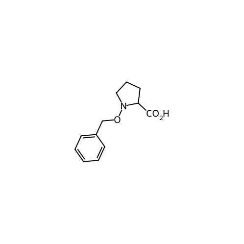 O=C(O)C1CCCN1OCc1ccccc1